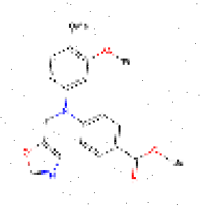 CCOc1cc(N(Cc2cnco2)c2ccc(C(=O)OC(C)(C)C)cc2)ccc1OC